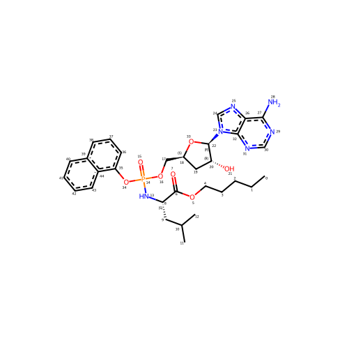 CCCCCOC(=O)[C@H](CC(C)C)NP(=O)(OC[C@@H]1C[C@@H](O)[C@H](n2cnc3c(N)ncnc32)O1)Oc1cccc2ccccc12